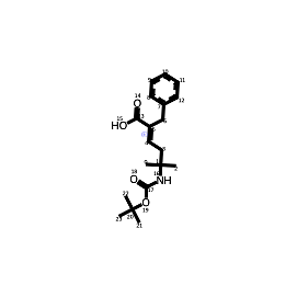 CC(C)(C/C=C(\Cc1ccccc1)C(=O)O)NC(=O)OC(C)(C)C